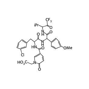 COc1ccc(C(NC(=O)C(Cc2cccc(Cl)c2)NC(=O)c2ccc(=O)n(CC(=O)O)c2)C(=O)NC(C(=O)C(F)(F)F)C(C)C)cc1